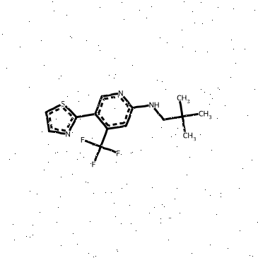 CC(C)(C)CNc1cc(C(F)(F)F)c(-c2nccs2)cn1